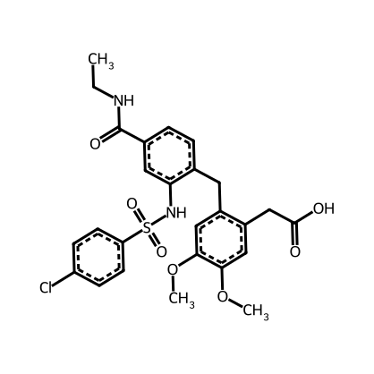 CCNC(=O)c1ccc(Cc2cc(OC)c(OC)cc2CC(=O)O)c(NS(=O)(=O)c2ccc(Cl)cc2)c1